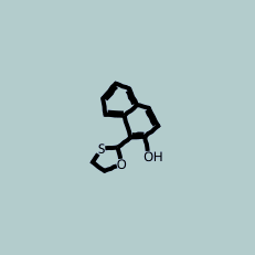 Oc1ccc2ccccc2c1C1OCCS1